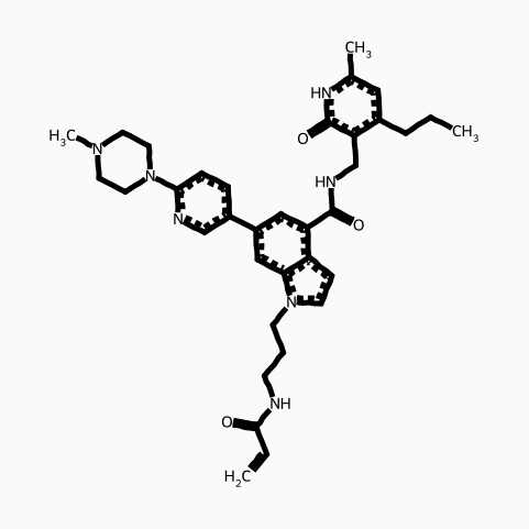 C=CC(=O)NCCCn1ccc2c(C(=O)NCc3c(CCC)cc(C)[nH]c3=O)cc(-c3ccc(N4CCN(C)CC4)nc3)cc21